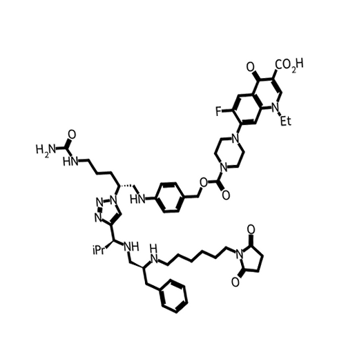 CCn1cc(C(=O)O)c(=O)c2cc(F)c(N3CCN(C(=O)OCc4ccc(NC[C@@H](CCCNC(N)=O)n5cc([C@@H](NC[C@H](Cc6ccccc6)NCCCCCCN6C(=O)CCC6=O)C(C)C)nn5)cc4)CC3)cc21